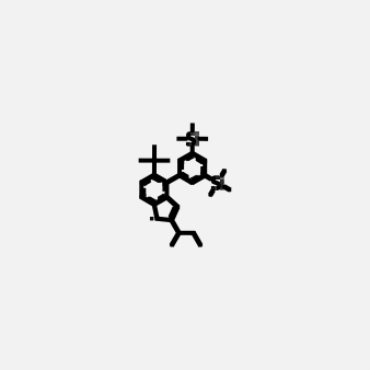 CCC(C)C1=Cc2c(ccc(C(C)(C)C)c2-c2cc([Si](C)(C)C)cc([Si](C)(C)C)c2)[CH]1